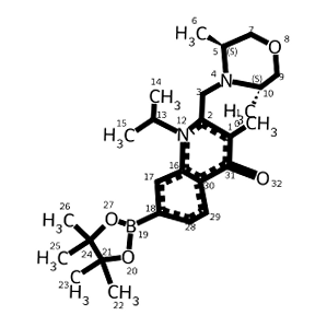 Cc1c(CN2[C@@H](C)COC[C@@H]2C)n(C(C)C)c2cc(B3OC(C)(C)C(C)(C)O3)ccc2c1=O